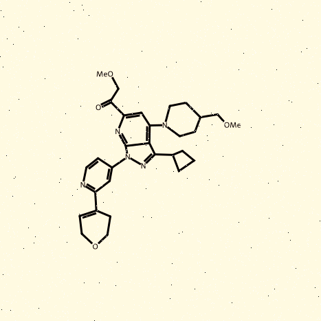 COCC(=O)c1cc(N2CCC(COC)CC2)c2c(C3CCC3)nn(-c3ccnc(C4=CCOCC4)c3)c2n1